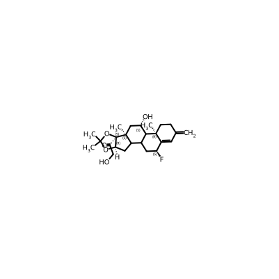 C=C1C=C2[C@@H](F)CC3C([C@@H](O)C[C@@]4(C)C3C[C@H]3OC(C)(C)O[C@]34C(=O)CO)[C@@]2(C)CC1